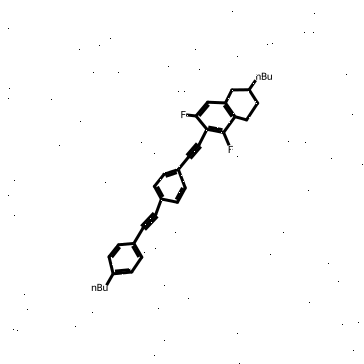 CCCCc1ccc(C#Cc2ccc(C#Cc3c(F)cc4c(c3F)CCC(CCCC)C4)cc2)cc1